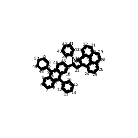 C1=CC(c2c3ccccc3c(-c3ccccc3)c3cc(-c4cc5c6cccc7ccc8cccc(c8c76)c5n4-c4ccccc4)ccc23)=CCC1